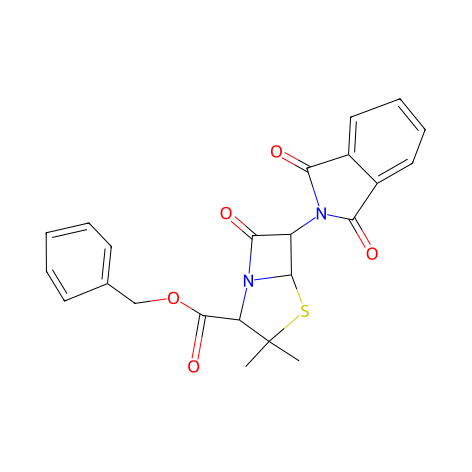 CC1(C)SC2C(N3C(=O)c4ccccc4C3=O)C(=O)N2C1C(=O)OCc1ccccc1